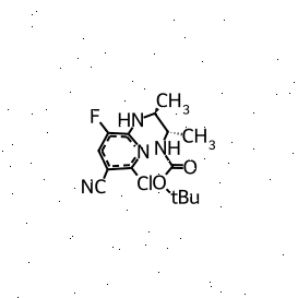 C[C@H](NC(=O)OC(C)(C)C)[C@H](C)Nc1nc(Cl)c(C#N)cc1F